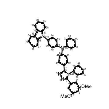 COc1cc(OC)cc(-c2nnc(-c3ccc(N(c4ccccc4)c4ccc(-n5c6ccccc6c6ccccc65)cc4)cc3)n2-c2ccccc2)c1